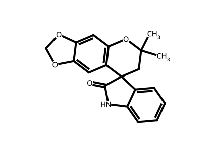 CC1(C)CC2(C(=O)Nc3ccccc32)c2cc3c(cc2O1)OCO3